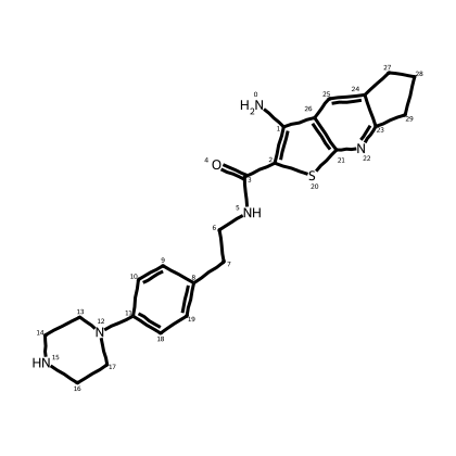 Nc1c(C(=O)NCCc2ccc(N3CCNCC3)cc2)sc2nc3c(cc12)CCC3